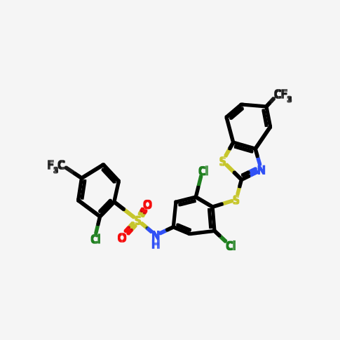 O=S(=O)(Nc1cc(Cl)c(Sc2nc3cc(C(F)(F)F)ccc3s2)c(Cl)c1)c1ccc(C(F)(F)F)cc1Cl